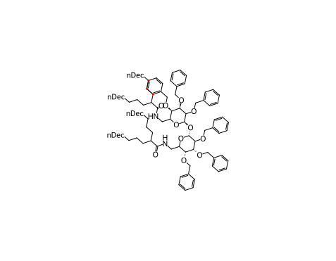 CCCCCCCCCCCCCC(CCCCCCCCCCCCC)C(=O)NCC1O[C@H](O[C@H]2OC(CNC(=O)C(CCCCCCCCCCCCC)CCCCCCCCCCCCC)[C@@H](OCc3ccccc3)[C@@H](OCc3ccccc3)C2OCc2ccccc2)C(OCc2ccccc2)[C@H](OCc2ccccc2)[C@@H]1OCc1ccccc1